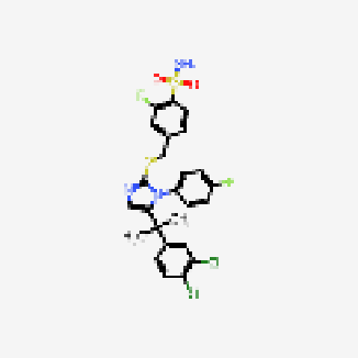 CC(C)(c1ccc(Cl)c(Cl)c1)c1cnc(SCc2ccc(S(N)(=O)=O)c(F)c2)n1-c1ccc(F)cc1